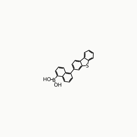 OB(O)c1cccc2c(-c3ccc4c(c3)sc3ccccc34)cccc12